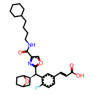 O=C(O)/C=C/c1ccc(F)c(C(c2nc(C(=O)NCCCCC3CCCCC3)co2)[C@H]2CC3CCC2O3)c1